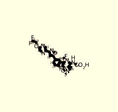 CN=S1(=O)C[C@@](CF)(c2cc(-c3cc(-c4cnc(OCC(F)F)cn4)no3)ccc2F)N=C(NC(=O)O)C1(C)C